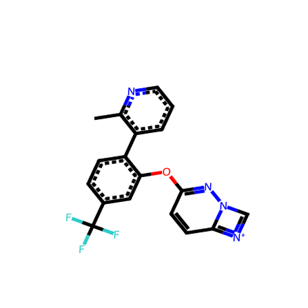 Cc1ncccc1-c1ccc(C(F)(F)F)cc1OC1=NN2C=[N+]=C2C=C1